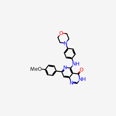 COc1ccc(-c2cc3nc[nH]c(=O)c3c(Nc3ccc(N4CCOCC4)cc3)n2)cc1